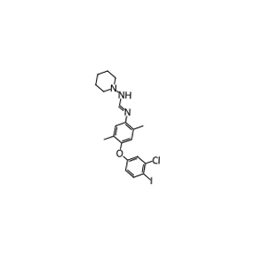 Cc1cc(Oc2ccc(I)c(Cl)c2)c(C)cc1/N=C/NN1CCCCC1